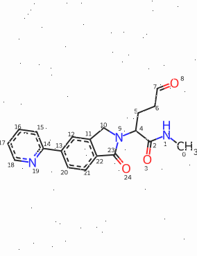 CNC(=O)C(CCC=O)N1Cc2cc(-c3ccccn3)ccc2C1=O